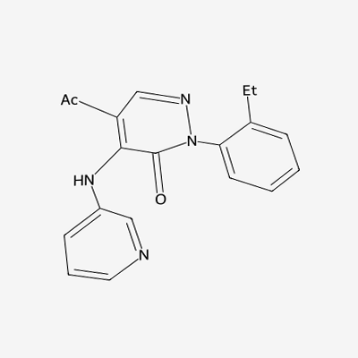 CCc1ccccc1-n1ncc(C(C)=O)c(Nc2cccnc2)c1=O